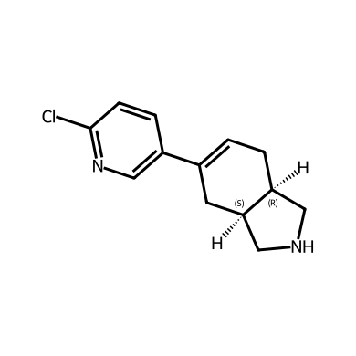 Clc1ccc(C2=CC[C@H]3CNC[C@H]3C2)cn1